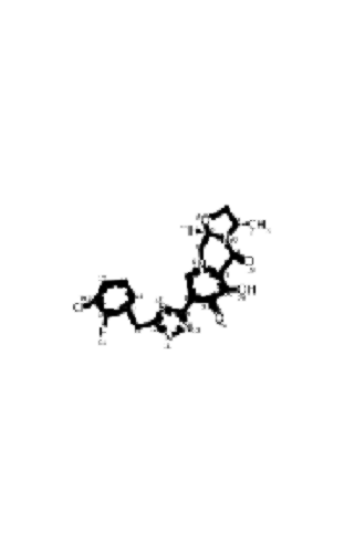 C[C@H]1CO[C@@H]2Cn3cc(-c4nnc(Cc5cccc(Cl)c5F)s4)c(=O)c(O)c3C(=O)N12